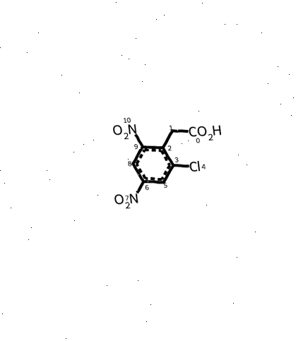 O=C(O)Cc1c(Cl)cc([N+](=O)[O-])cc1[N+](=O)[O-]